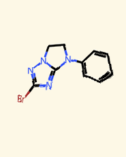 Brc1nc2n(n1)CCN2c1ccccc1